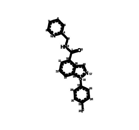 O=C(NCc1ccccn1)c1cccc2c1cnn2-c1ccc(F)cc1